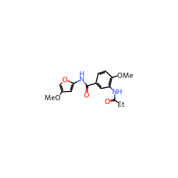 CCC(=O)Nc1cc(C(=O)Nc2cc(OC)co2)ccc1OC